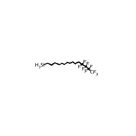 FC(F)(F)C(F)(F)C(F)(F)C(F)(F)CCCCCCCCCCC[SiH3]